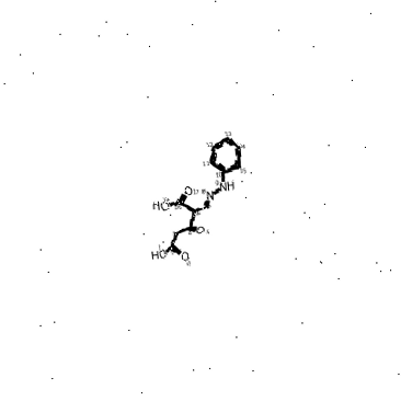 O=C(O)CC(=O)C(C=NNc1ccccc1)C(=O)O